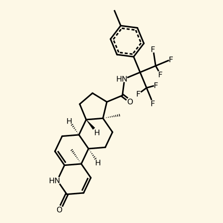 Cc1ccc(C(NC(=O)C2CC[C@H]3[C@@H]4CC=C5NC(=O)C=C[C@]5(C)[C@@H]4CC[C@]23C)(C(F)(F)F)C(F)(F)F)cc1